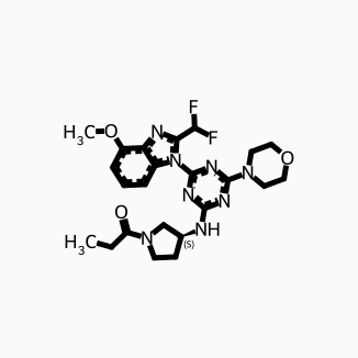 CCC(=O)N1CC[C@H](Nc2nc(N3CCOCC3)nc(-n3c(C(F)F)nc4c(OC)cccc43)n2)C1